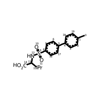 Cc1ccc(-c2ccc(S(=O)(=O)NC(C(=O)O)C(C)C)cc2)cc1